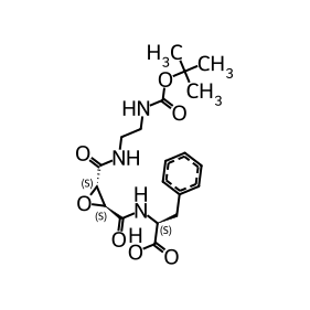 CC(C)(C)OC(=O)NCCNC(=O)[C@H]1O[C@@H]1C(=O)N[C@@H](Cc1ccccc1)C(=O)O